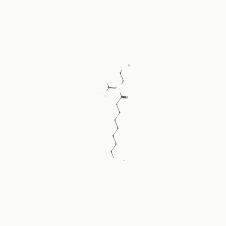 CCCCCCCCCCCCCCCCCC(=O)N(CCO)C(N)CC